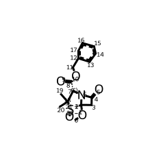 COC12CC(=O)N1[C@@H](C(=O)OCc1ccccc1)C(C)(C)[S+]2[O-]